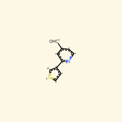 O=Cc1ccnc(-c2ccsc2)c1